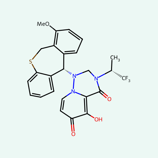 COc1cccc2c1CSc1ccccc1[C@H]2N1CN([C@H](C)C(F)(F)F)C(=O)c2c(O)c(=O)ccn21